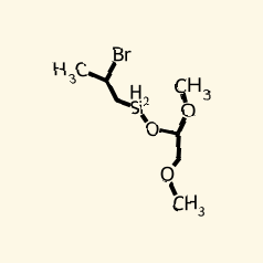 COCC(OC)O[SiH2]CC(C)Br